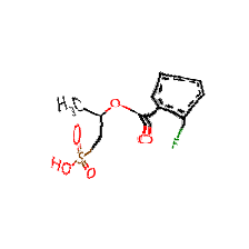 CC(CS(=O)(=O)O)OC(=O)c1ccccc1F